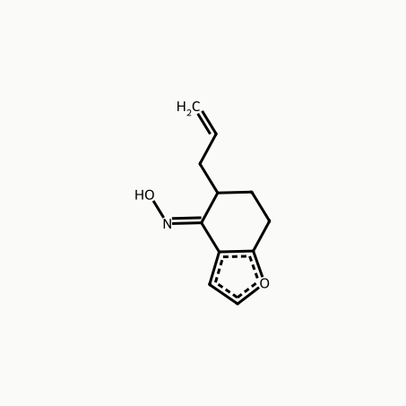 C=CCC1CCc2occc2C1=NO